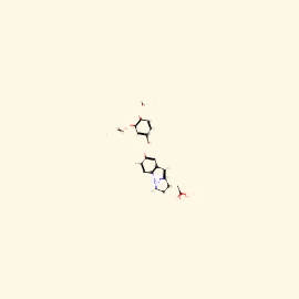 CCOc1ccc(COc2ccc3c(c2)cc2n3CC[C@@H]2CC(=O)O)cc1OCC